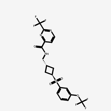 O=C(NC[C@H]1C[C@H](S(=O)(=O)c2cccc(OC(F)(F)F)c2)C1)c1ccnc(C(F)(F)F)n1